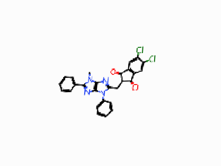 Cn1c(-c2ccccc2)nc2c1nc(CC1C(=O)c3cc(Cl)c(Cl)cc3C1=O)n2-c1ccccc1